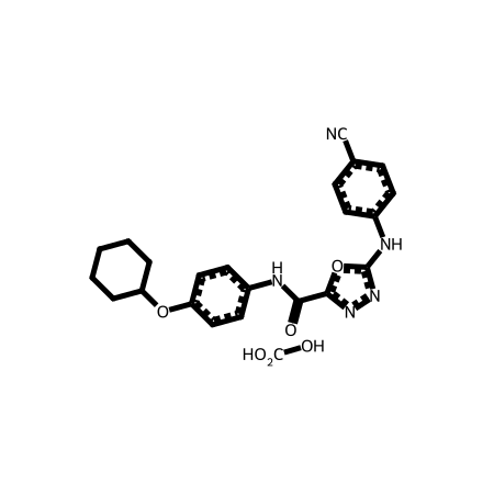 N#Cc1ccc(Nc2nnc(C(=O)Nc3ccc(OC4CCCCC4)cc3)o2)cc1.O=C(O)O